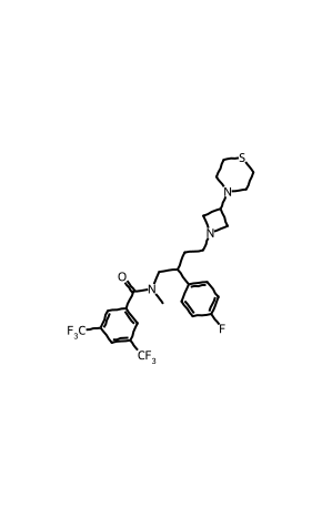 CN(CC(CCN1CC(N2CCSCC2)C1)c1ccc(F)cc1)C(=O)c1cc(C(F)(F)F)cc(C(F)(F)F)c1